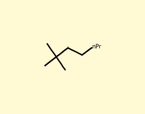 [CH2]CCC[CH]C(C)(C)C